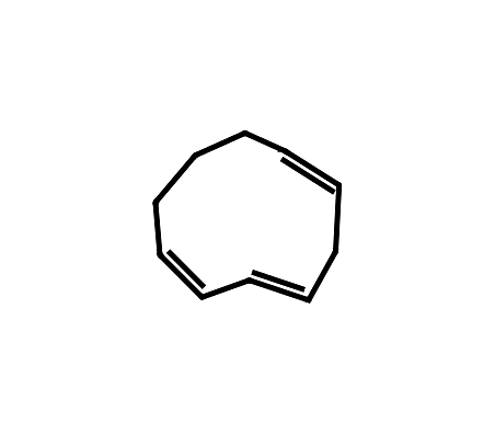 [C]1=C\C/C=C/C=C\CCC/1